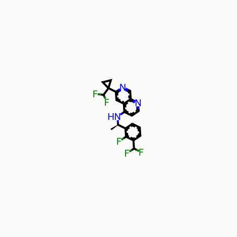 C[C@@H](Nc1ccnc2cnc(C3(C(F)F)CC3)cc12)c1cccc(C(F)F)c1F